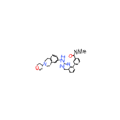 CNC(=O)c1cccc(-c2cccc3cnc(Nc4ccc5c(c4)CCN(C4CCOCC4)CC5)nc23)c1